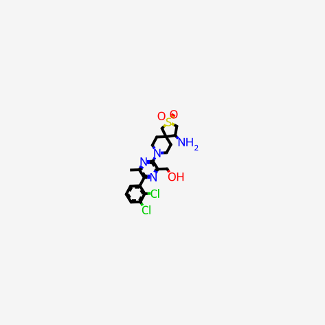 Cc1nc(N2CCC3(CC2)CS(=O)(=O)CC3N)c(CO)nc1-c1cccc(Cl)c1Cl